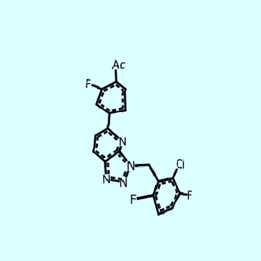 CC(=O)c1ccc(-c2ccc3nnn(Cc4c(F)ccc(F)c4Cl)c3n2)cc1F